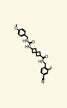 COc1ccc(CNC(=O)NC2CC3(C2)CC(C(=O)NCc2ccc(C#N)cc2F)C3)cc1